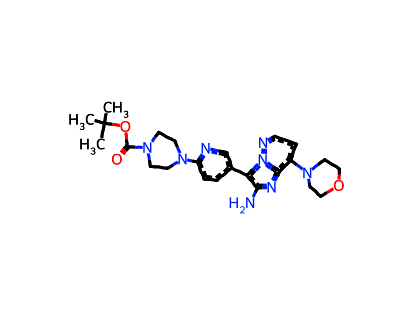 CC(C)(C)OC(=O)N1CCN(c2ccc(-c3c(N)nc4c(N5CCOCC5)ccnn34)cn2)CC1